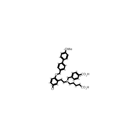 COc1ccc(-c2ccc(COc3ccc(Cl)cc3CCN(CCCCC(=O)O)Cc3ccc(C(=O)O)cc3)cc2)cc1